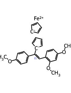 COc1ccc(/C(=C/c2ccc(OC)cc2OC)[c-]2cccc2)cc1.[Fe+2].c1cc[cH-]c1